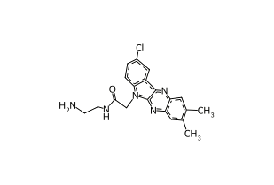 Cc1cc2nc3c4cc(Cl)ccc4n(CC(=O)NCCN)c3nc2cc1C